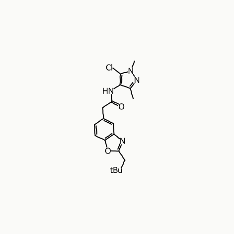 Cc1nn(C)c(Cl)c1NC(=O)Cc1ccc2oc(CC(C)(C)C)nc2c1